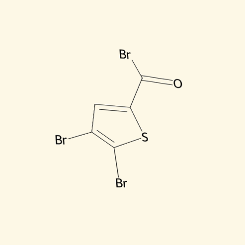 O=C(Br)c1cc(Br)c(Br)s1